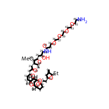 C=C1C[C@H](CC[C@]23CC[C@H](O2)C2C[C@@H](O3)[C@H]3O[C@@H](CC(=O)C[C@@H]4[C@@H](OC)[C@@H](C[C@H](O)CNC(=O)CCOCCOCCOCCOCCN)O[C@H]4C)CC[C@@H]3O2)O[C@H]1CC